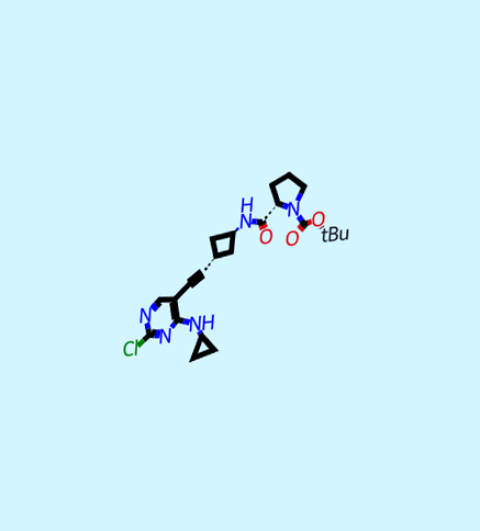 CC(C)(C)OC(=O)N1CCC[C@H]1C(=O)N[C@H]1C[C@@H](C#Cc2cnc(Cl)nc2NC2CC2)C1